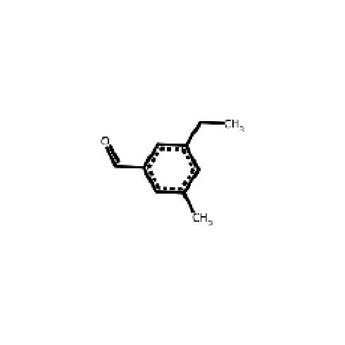 CCc1cc(C)cc(C=O)c1